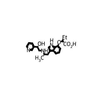 CCC(Oc1cccc2c(C[C@@H](C)NC[C@H](O)c3cccnc3)c[nH]c12)C(=O)O